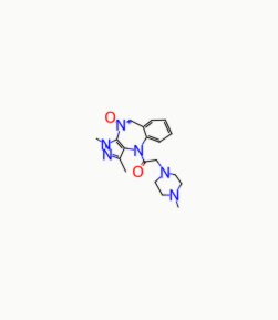 Cc1nn(C)c2c1N(C(=O)CN1CCN(C)CC1)c1ccccc1C[N+]2=O